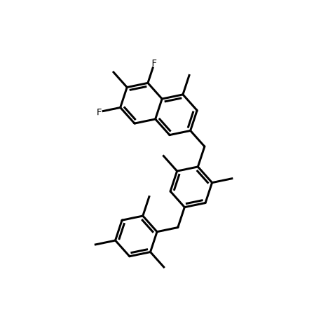 Cc1cc(C)c(Cc2cc(C)c(Cc3cc(C)c4c(F)c(C)c(F)cc4c3)c(C)c2)c(C)c1